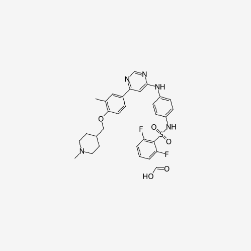 Cc1cc(-c2cc(Nc3ccc(NS(=O)(=O)c4c(F)cccc4F)cc3)ncn2)ccc1OCC1CCN(C)CC1.O=CO